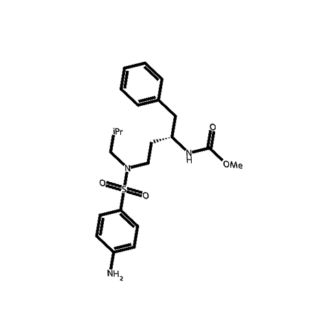 COC(=O)N[C@H](CCN(CC(C)C)S(=O)(=O)c1ccc(N)cc1)Cc1ccccc1